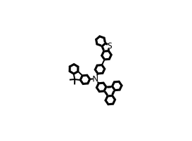 CC1(C)c2ccccc2-c2cc(N(c3ccc(-c4ccc5sc6ccccc6c5c4)cc3)c3ccc4c5ccccc5c5ccccc5c4c3)ccc21